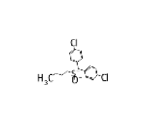 CCCC[S+]([O-])C(c1ccc(Cl)cc1)c1ccc(Cl)cc1